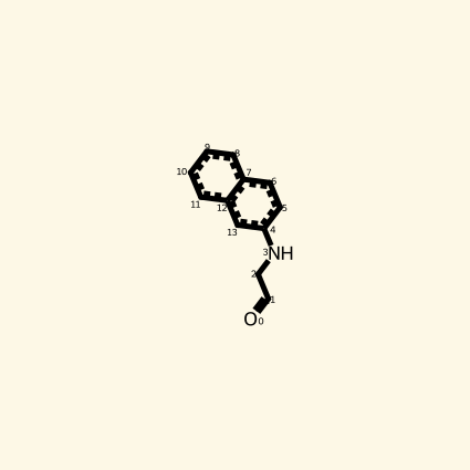 O=[C]CNc1ccc2ccccc2c1